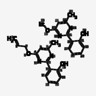 C=CCOc1cc(C)nc(-c2ccccc2O)n1.CCOc1cc(C)nc(-c2ccccc2O)n1